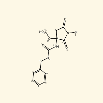 CCN1C(=O)CC(NC(=O)OCc2ccccc2)(OC(=O)O)C1=O